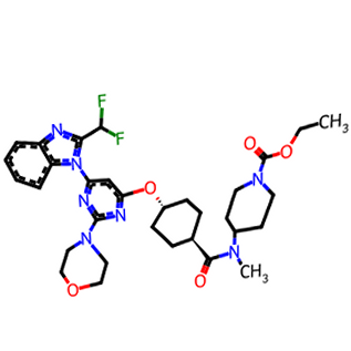 CCOC(=O)N1CCC(N(C)C(=O)[C@H]2CC[C@H](Oc3cc(-n4c(C(F)F)nc5ccccc54)nc(N4CCOCC4)n3)CC2)CC1